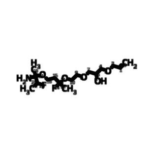 C=CCOCC(O)COCCOC(C)(F)CCOC(C)(N)C(C)F